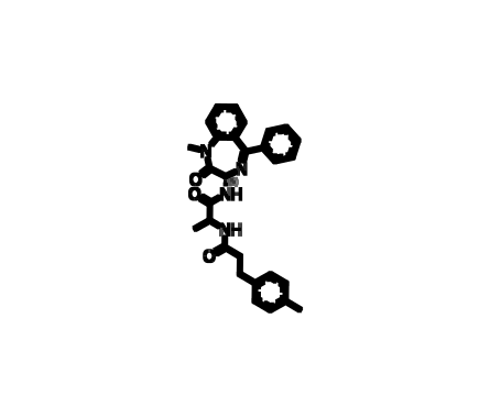 Cc1ccc(CCC(=O)NC(C)C(=O)N[C@H]2N=C(c3ccccc3)c3ccccc3N(C)C2=O)cc1